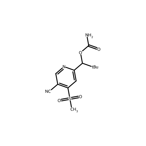 CC(C)(C)C(OC(N)=O)c1cc(S(C)(=O)=O)c(C#N)cn1